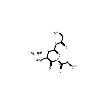 CCCCCCCCCCCC(=O)OC(=O)CC(C(=O)OC(=O)CCCCCCCCCCC)S(=O)(=O)O.[NaH].[NaH]